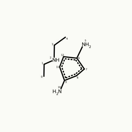 CCNCC.Nc1ccc(N)cc1